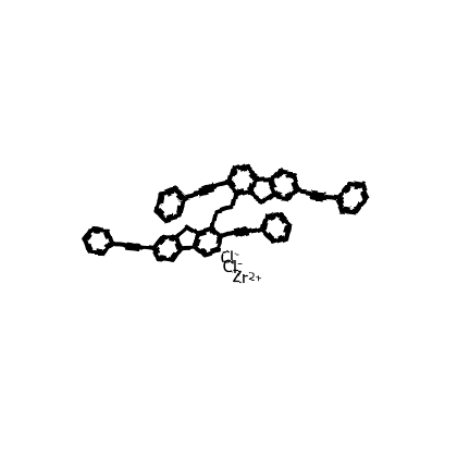 C(#Cc1ccc2c(c1)Cc1c-2ccc(C#Cc2ccccc2)c1CCc1c(C#Cc2ccccc2)ccc2c1Cc1cc(C#Cc3ccccc3)ccc1-2)c1ccccc1.[Cl-].[Cl-].[Zr+2]